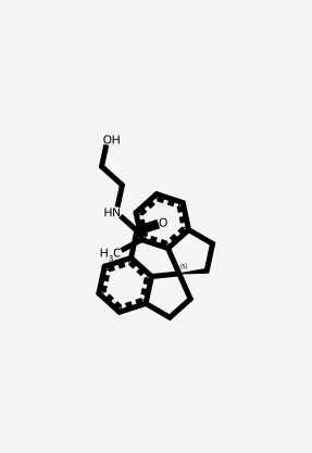 Cc1cccc2c1[C@]1(CC2)CCc2cccc(C(=O)NCCO)c21